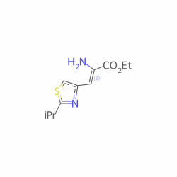 CCOC(=O)/C(N)=C/c1csc(C(C)C)n1